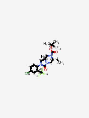 CC[C@@H]1CN2C(=O)N(c3ccc(Cl)cc3C(F)(F)F)C[C@@H]2CN1C(=O)OC(C)(C)C